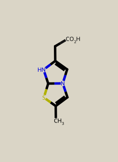 CC1=CN2C=C(CC(=O)O)NC2S1